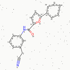 N#CCc1cccc(NC(=O)c2ccc(-c3ccccc3)o2)c1